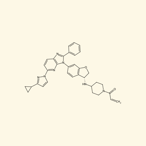 C=CC(=O)N1CCC(N[C@H]2COc3cc(-n4c(-c5ccccc5)nc5ccc(-n6ccc(C7CC7)n6)nc54)ccc32)CC1